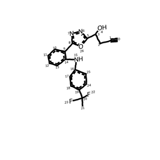 C#CCC(O)c1nnc(-c2ccccc2Nc2ccc(C(C)(F)F)cc2)o1